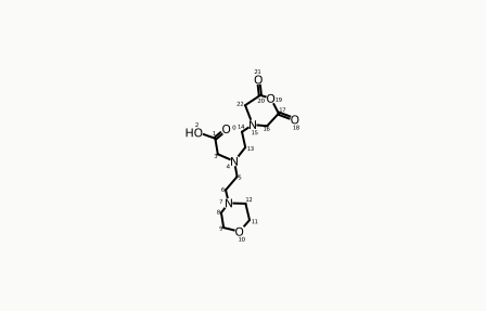 O=C(O)CN(CCN1CCOCC1)CCN1CC(=O)OC(=O)C1